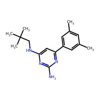 Cc1cc(C)cc(-c2cc(NCC(C)(C)C)nc(N)n2)c1